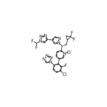 [O-][n+]1cc(-c2c(-n3cnnn3)ccc(Cl)c2F)ccc1[C@H](CC1CC1(F)F)n1cc(-c2cn(C(F)F)nn2)cn1